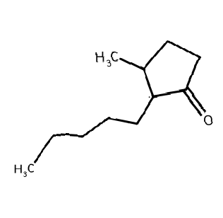 CCCCC[C]1C(=O)CCC1C